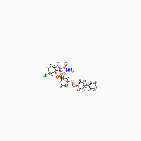 NC(=O)c1[nH]c2ccc(Cl)cc2c1S(=O)(=O)N1CCOC(COc2ccc(-c3ccncc3)cc2)C1